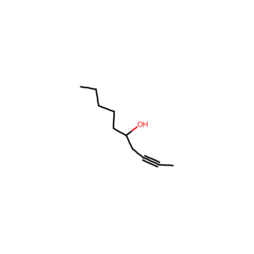 CC#CCC(O)CCCCC